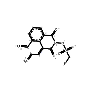 C=C/C=C1/C(=O)N(OS(=O)(=O)CF)C(=O)c2cccc(C=C)c21